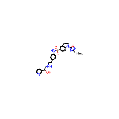 CCCCCCc1noc(N2CCc3cc(S(=O)(=O)Nc4ccc(CCNCC(O)c5cccnc5)cc4)ccc32)n1